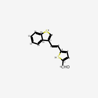 O=Cc1ccc(C=Cc2csc3ccccc23)s1